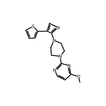 COc1ccnc(N2CCN(C3=NC=C3c3cccs3)CC2)n1